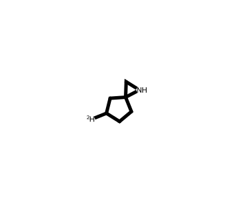 [2H]C1CCC2(CN2)C1